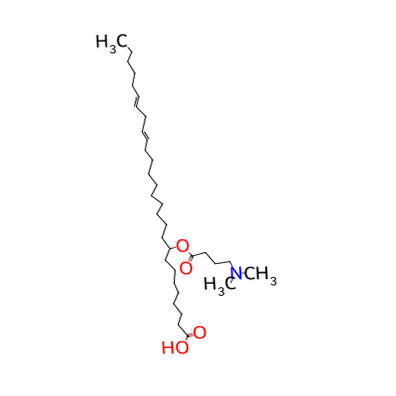 CCCCCC=CCC=CCCCCCCCCCC(CCCCCCCC(=O)O)OC(=O)CCCN(C)C